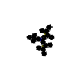 c1ccc(-c2cc(-c3ccccc3)c3sc4c(-c5ccc6c(c5)c5cc(-c7cc(-c8ccccc8)cc8c7sc7c(-c9ccccc9)cc(-c9ccccc9)cc78)ccc5n6-c5ccc(-c6c7ccccc7c(-c7ccccc7)c7ccccc67)cc5)cc(-c5ccccc5)cc4c3c2)cc1